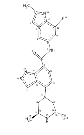 Cc1cn2cc(NC(=O)c3ccc(N4C[C@H](C)N[C@@H](C)C4)c4csnc34)cc(F)c2n1